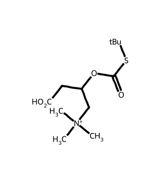 CC(C)(C)SC(=O)OC(CC(=O)O)C[N+](C)(C)C